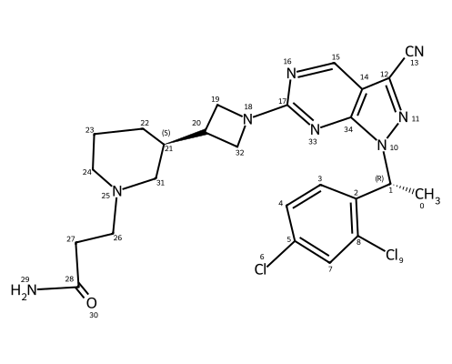 C[C@H](c1ccc(Cl)cc1Cl)n1nc(C#N)c2cnc(N3CC([C@@H]4CCCN(CCC(N)=O)C4)C3)nc21